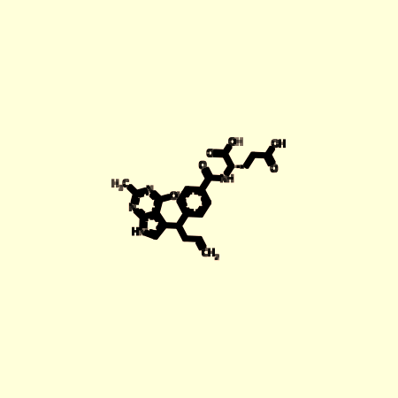 C=CCC(c1ccc(C(=O)N[C@@H](CCC(=O)O)C(=O)O)cc1)c1c[nH]c2nc(C)nc(O)c12